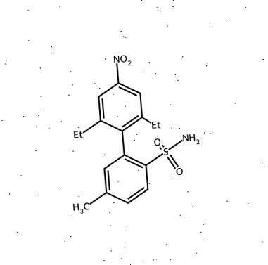 CCc1cc([N+](=O)[O-])cc(CC)c1-c1cc(C)ccc1S(N)(=O)=O